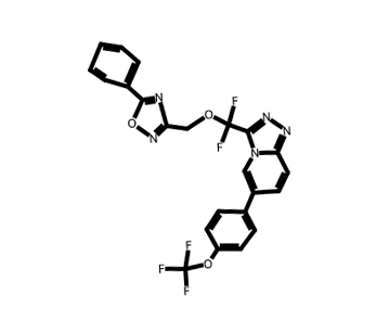 FC(F)(F)Oc1ccc(-c2ccc3nnc(C(F)(F)OCc4noc(-c5ccccc5)n4)n3c2)cc1